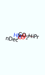 CCCCCCCCCCCCCC(=O)N[C@@H](CCC(=O)OCCCCCCCCCC(C)C)C(=O)O